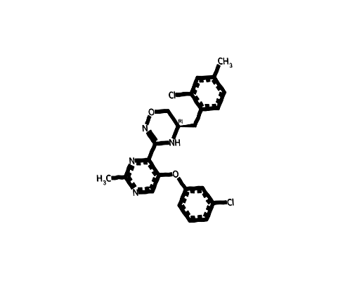 Cc1ccc(C[C@@H]2CON=C(c3nc(C)ncc3Oc3cccc(Cl)c3)N2)c(Cl)c1